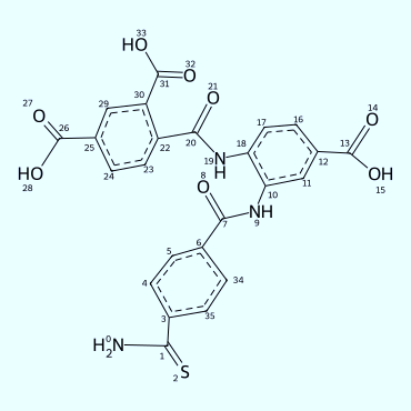 NC(=S)c1ccc(C(=O)Nc2cc(C(=O)O)ccc2NC(=O)c2ccc(C(=O)O)cc2C(=O)O)cc1